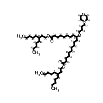 CCCCCC(CCCCC)CCOC(=O)CCCCCCCCCC(CCCCCCCC(=O)OCCC(CCCCC)CCCCC)OCCCCN1CCOCC1